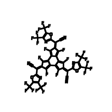 N#CC(=C1C(F)=c2c3c(c4c(c2=C1F)=C(F)C(=C(C#N)c1nc(C(F)(F)F)c(C(F)(F)F)o1)C=4F)=C(F)C(=C(C#N)c1nc(C(F)(F)F)c(C(F)(F)F)o1)C=3F)c1nc(C(F)(F)F)c(C(F)(F)F)o1